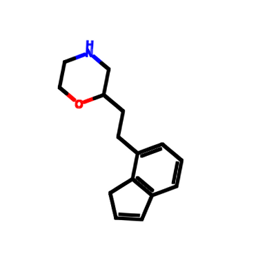 C1=Cc2cccc(CCC3CNCCO3)c2C1